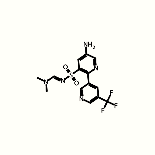 CN(C)C=NS(=O)(=O)c1cc(N)cnc1-c1cncc(C(F)(F)F)c1